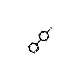 [O]c1ccc(-c2cccnc2)cc1